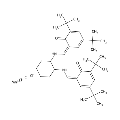 CC(C)(C)C1=CC(=CNC2CCCCC2NC=C2C=C(C(C)(C)C)C=C(C(C)(C)C)C2=O)C(=O)C(C(C)(C)C)=C1.[Cl-].[Cl-].[Cl-].[Mn+3]